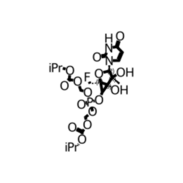 CC(C)OC(=O)OCOP(=O)(OCOC(=O)OC(C)C)OC1[C@]2(O)[C@@](C)(O)[C@H](n3ccc(=O)[nH]c3=O)O[C@]12CF